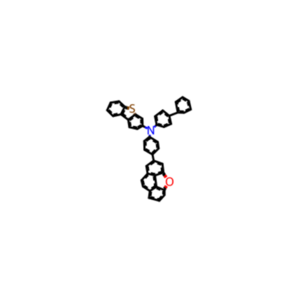 c1ccc(-c2ccc(N(c3ccc(-c4cc5ccc6cccc7oc(c4)c5c67)cc3)c3ccc4c(c3)sc3ccccc34)cc2)cc1